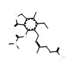 CCc1c(C)c2c(c(NC(=O)N(C)C)c1CC=C(C)CCC(=O)O)C(=O)OC2